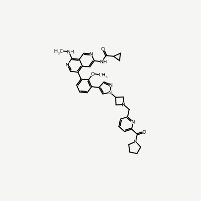 CNc1ncc(-c2cccc(-c3cnn(C4CN(Cc5cccc(C(=O)N6CCCC6)n5)C4)c3)c2OC)c2cc(NC(=O)C3CC3)ncc12